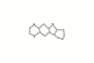 c1ccc2c(c1)nc1cc3nccsc3cc12